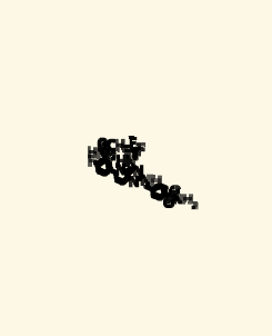 CS(=O)(=O)Nc1cc(-c2ccc3nc(NCc4ccc(S(N)(=O)=O)cc4)nc(NCC(F)(F)F)c3n2)ccc1F